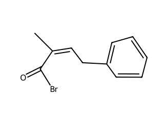 CC(=CCc1ccccc1)C(=O)Br